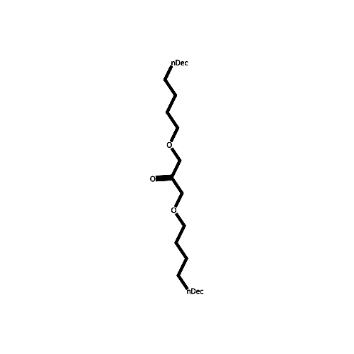 CCCCCCCCCCCCCCOCC(=O)COCCCCCCCCCCCCCC